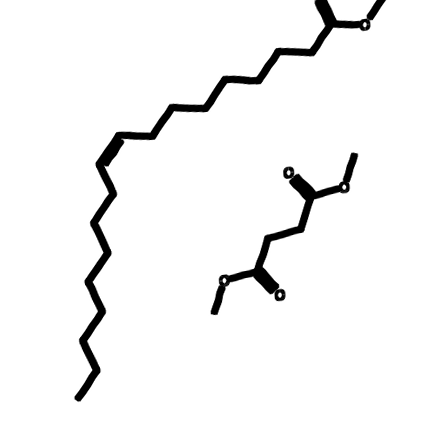 CCCCCCCC/C=C\CCCCCCCC(=O)OC.COC(=O)CCC(=O)OC